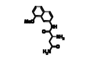 COc1cccc2ccc(NC(=O)C(N)CC(N)=O)cc12